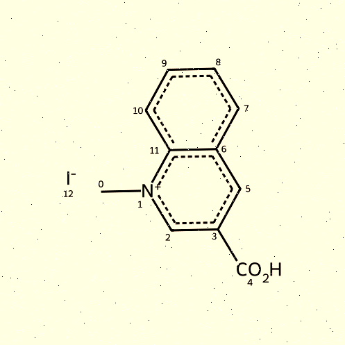 C[n+]1cc(C(=O)O)cc2ccccc21.[I-]